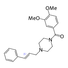 COc1ccc(C(=O)N2CCN(C/C=C/c3ccccc3)CC2)cc1OC